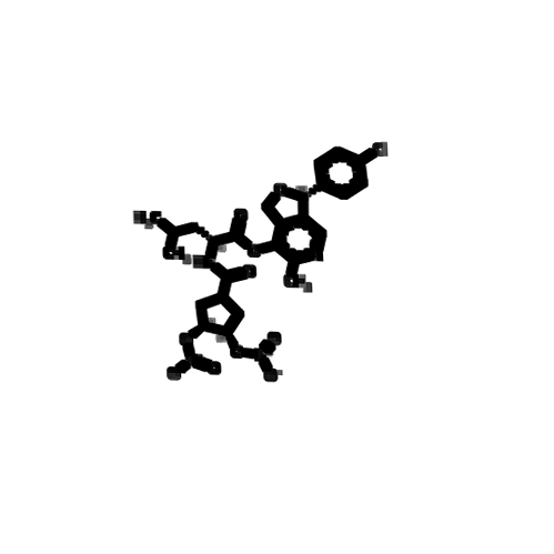 Cc1ncc2c(c1OC(=O)[C@@H](CC(C)C)NC(=O)C1C[C@H](O[N+](=O)[O-])[C@H](O[N+](=O)[O-])C1)CO[C@@H]2c1ccc(Cl)cc1